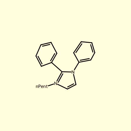 CCCCC[n+]1ccn(-c2ccccc2)c1-c1ccccc1